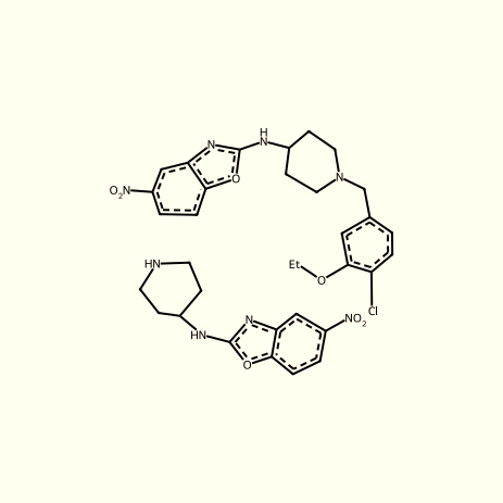 CCOc1cc(CN2CCC(Nc3nc4cc([N+](=O)[O-])ccc4o3)CC2)ccc1Cl.O=[N+]([O-])c1ccc2oc(NC3CCNCC3)nc2c1